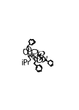 CC(C)CCN(C(=O)OCc1ccccc1)C(=O)N(CCCc1ccccc1)C(=O)C1=NC(c2ccccc2)CO1